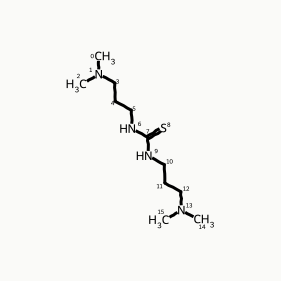 CN(C)CCCNC(=S)NCCCN(C)C